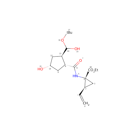 C=C[C@@H]1C[C@]1(NC(=O)[C@@H]1C[C@H](O)C[C@H]1C(O)OC(C)(C)C)C(=O)OCC